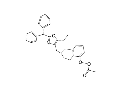 CCc1oc(C(c2ccccc2)c2ccccc2)nc1CC1CCc2c(cccc2OOC(C)=O)C1